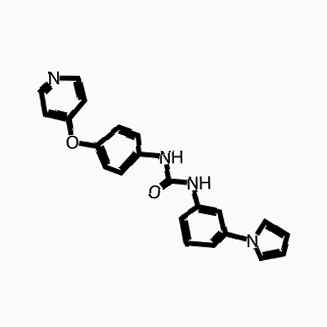 O=C(Nc1ccc(Oc2ccncc2)cc1)Nc1cccc(-n2cccc2)c1